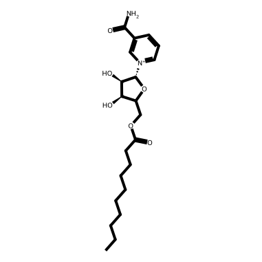 CCCCCCCCCC(=O)OCC1O[C@@H]([n+]2cccc(C(N)=O)c2)[C@H](O)[C@@H]1O